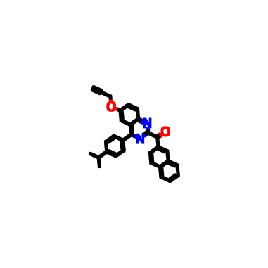 C#CCOc1ccc2nc(C(=O)c3ccc4ccccc4c3)nc(-c3ccc(C(C)C)cc3)c2c1